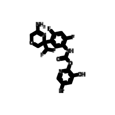 NC1=NC(c2cc(NC(=O)Oc3ncc(Br)cc3O)c(F)cc2F)(C(F)F)COC1